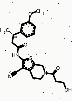 COc1cccc([C@@H](C)CC(=O)Nc2sc3c(c2C#N)CCN(C(=O)CCO)C3)c1